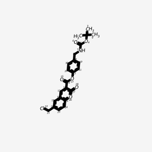 CC(C)(C)OC(=O)NCc1ccc(OC(=O)c2cc3cc(CCl)ccc3oc2=O)cc1